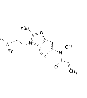 C=CC(=O)N(O)c1ccc2c(c1)nc(CCCC)n2CCN(C(C)C)C(C)C